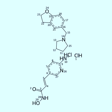 Cl.Cl.O=C(/C=C/c1ccc(N[C@@H]2CCN(Cc3ccc4c(c3)CCO4)C2)nc1)NO